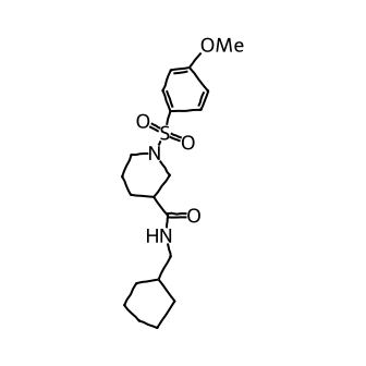 COc1ccc(S(=O)(=O)N2CCCC(C(=O)NCC3CCCCC3)C2)cc1